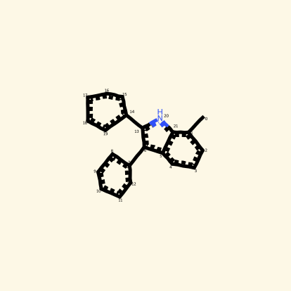 Cc1cccc2c(-c3ccccc3)c(-c3ccccc3)[nH]c12